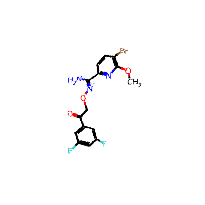 COc1nc(/C(N)=N/OCC(=O)c2cc(F)cc(F)c2)ccc1Br